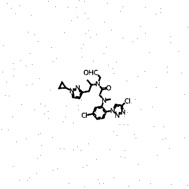 CC(Cc1ccn(C2CC2)n1)N(CC=O)C(=O)CN(C)c1cc(Cl)ccc1-n1cc(Cl)nn1